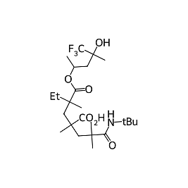 CCC(C)(CC(C)(CC(C)(C)C(=O)NC(C)(C)C)C(=O)O)C(=O)OC(C)CC(C)(O)C(F)(F)F